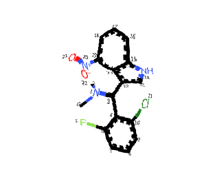 CN(C)C(c1c(F)cccc1Cl)c1c[nH]c2cccc([N+](=O)[O-])c12